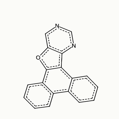 c1ccc2c(c1)c1ccccc1c1c3ncncc3oc21